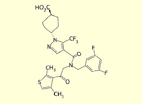 Cc1csc(C)c1C(=O)CN(Cc1cc(F)cc(F)c1)C(=O)c1cnn([C@H]2CC[C@H](C(=O)O)CC2)c1C(F)(F)F